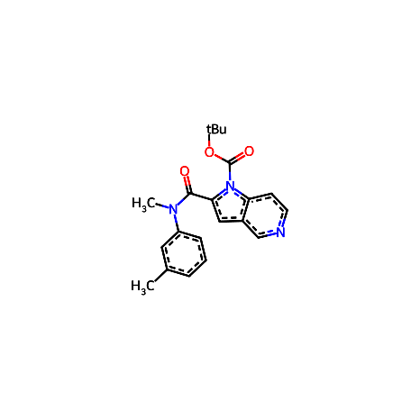 Cc1cccc(N(C)C(=O)c2cc3cnccc3n2C(=O)OC(C)(C)C)c1